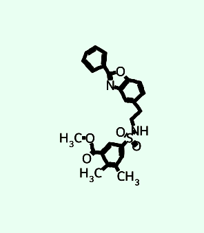 COC(=O)c1cc(S(=O)(=O)NCCc2ccc3oc(-c4ccccc4)nc3c2)cc(C)c1C